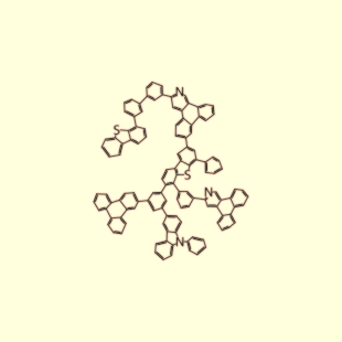 c1ccc(-c2cc(-c3ccc4c(c3)c3ccccc3c3cnc(-c5cccc(-c6cccc(-c7cccc8c7sc7ccccc78)c6)c5)cc43)cc3c2sc2c(-c4cccc(-c5cc6c7ccccc7c7ccccc7c6cn5)c4)c(-c4cc(-c5ccc6c7ccccc7c7ccccc7c6c5)cc(-c5ccc6c(c5)c5ccccc5n6-c5ccccc5)c4)ccc23)cc1